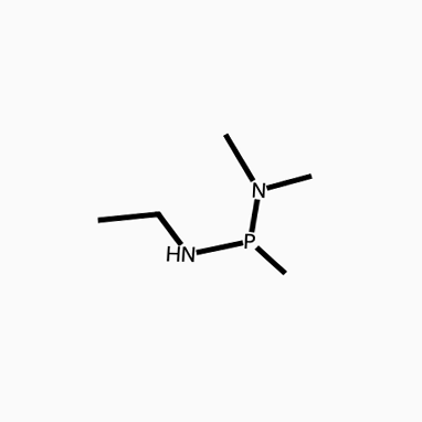 CCNP(C)N(C)C